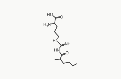 CCCCC(C)C(=O)NC(=N)NCCCC(N)C(=O)O